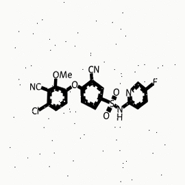 COc1c(Oc2ccc(S(=O)(=O)Nc3ccc(F)cn3)cc2C#N)ccc(Cl)c1C#N